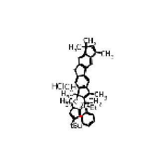 Cl.Cl.[CH2]=[Zr]([CH2]C)([C]1=CC(C(C)(C)C)=CC1C)([C]1=C(C)c2cc3c(cc2C1(C)C)Cc1cc2c(cc1-3)C(C)=CC2(C)C)[c]1ccccc1